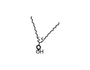 CCCCCCCCCCCCSCC(CSCCCCCCCCCCCC)c1ccc(O)cc1